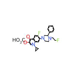 O=C(O)Oc1cn(C2CC2)c2cc(N3CCN(CCF)C(c4ccccc4)C3)c(F)cc2c1=O